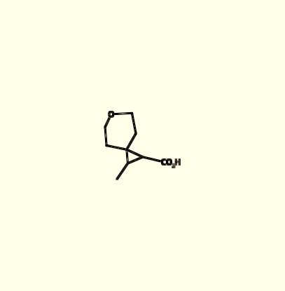 CC1C(C(=O)O)C12CCOCC2